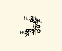 CC(CC1CCC(C)(C)C1(C)C)OC(=O)C1CCCN1C(=O)C(NC(=O)C(O)Cc1ccc(O)c(N=O)c1)C1CCCCC1